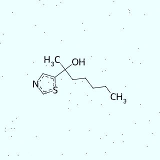 CCCCCC(C)(O)c1cncs1